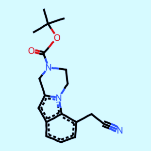 CC(C)(C)OC(=O)N1CCn2c(cc3cccc(CC#N)c32)C1